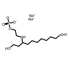 CCCCCCCCCCCCCCCCCC(CCO)NCCOP(=O)([O-])[O-].[Na+].[Na+]